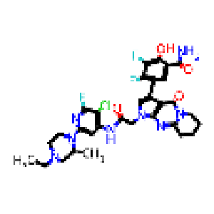 CCN1CCN(c2cc(NC(=O)Cn3cc(-c4cc(C(N)=O)c(O)c(F)c4F)c4c(=O)n5c(nc43)CCCC5)c(Cl)c(F)n2)[C@@H](C)C1